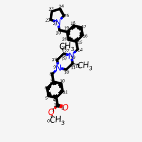 COC(=O)c1ccc(CN2C[C@@H](C)N(Cc3cccc(CN4CCCC4)c3)[C@@H](C)C2)cc1